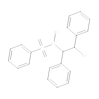 CCN(C(c1ccccc1)C(N)c1ccccc1)S(=O)(=O)c1ccccc1